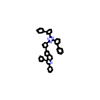 c1ccc(-c2cccc(-c3nc(-c4cccc(-c5ccccc5)c4)nc(-c4cccc(-c5ccc6c(ccc7nc(-c8ccccc8)cc(-c8ccccc8)c76)c5)c4)n3)c2)cc1